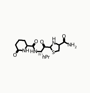 CCC[C@H](NC(=O)C1CCCC(=O)N1)C(=O)C1NC(C(N)=O)CS1